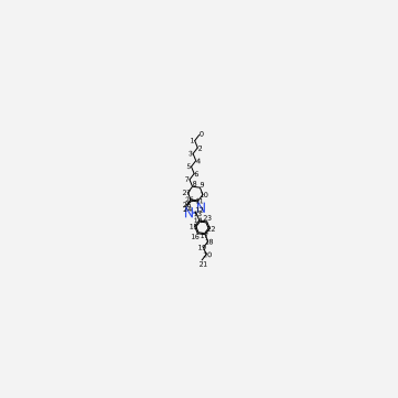 CCCCCCCCC1CCc2nc(-c3ccc(CCCC)cc3)ncc2C1